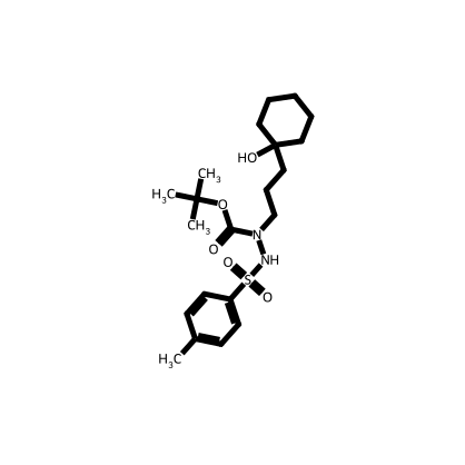 Cc1ccc(S(=O)(=O)NN(CCCC2(O)CCCCC2)C(=O)OC(C)(C)C)cc1